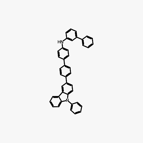 c1ccc(-c2cccc(Nc3ccc(-c4ccc(-c5ccc6c(c5)c5ccccc5n6-c5ccccc5)cc4)cc3)c2)cc1